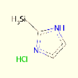 Cl.[SiH3]c1ncc[nH]1